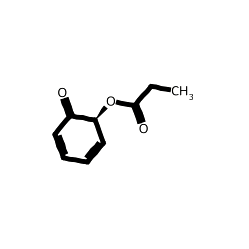 CCC(=O)O[C@H]1C=CC=CC1=O